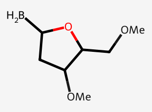 BC1CC(OC)C(COC)O1